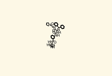 O=C(Nc1cccc(C(=O)Nc2nnn[nH]2)c1)NC1N=C(c2ccccc2)c2ccccc2N(CC(=O)N2CCCC2)C1=O